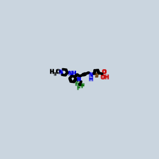 CN1CCC(NC2C=CC=C3C2=CC(C#CCNc2ccc(C(=O)O)s2)N3CC(F)(F)F)CC1